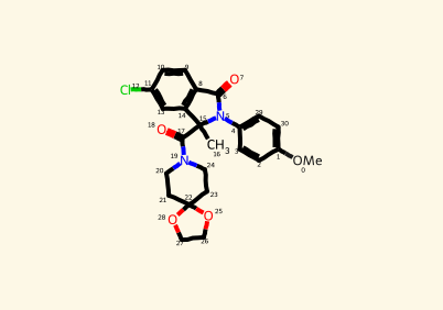 COc1ccc(N2C(=O)c3ccc(Cl)cc3C2(C)C(=O)N2CCC3(CC2)OCCO3)cc1